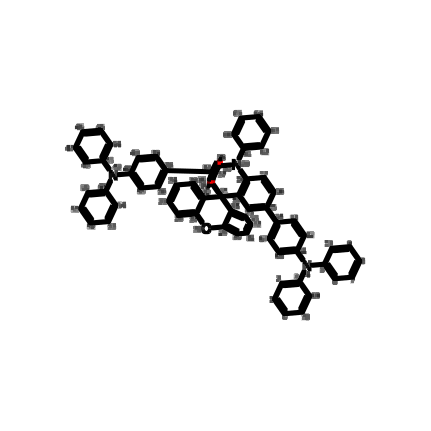 c1ccc(N(c2ccccc2)c2ccc(-c3ccc4c(c3)C3(c5ccccc5Oc5ccccc53)c3cc(-c5ccc(N(c6ccccc6)c6ccccc6)cc5)ccc3N4c3ccccc3)cc2)cc1